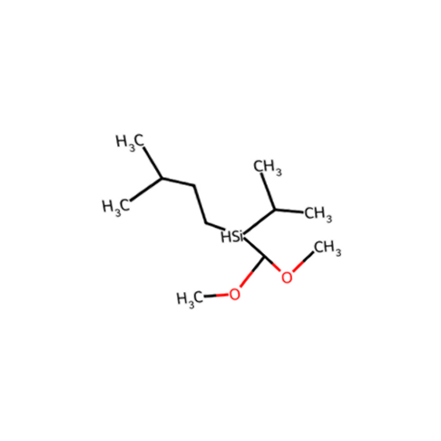 COC(OC)[SiH](CCC(C)C)C(C)C